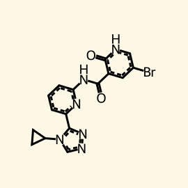 O=C(Nc1cccc(-c2nncn2C2CC2)n1)c1cc(Br)c[nH]c1=O